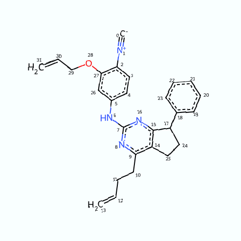 [C-]#[N+]c1ccc(Nc2nc(CCC=C)c3c(n2)C(c2ccccc2)CC3)cc1OCC=C